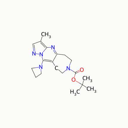 Cc1cnn2c(N3CCC3)c3c(nc12)CCN(C(=O)OC(C)(C)C)CC3